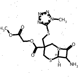 COC(=O)COC(=O)C1(CSc2nnnn2C)CS[C@@H]2C(N)C(=O)N2C1